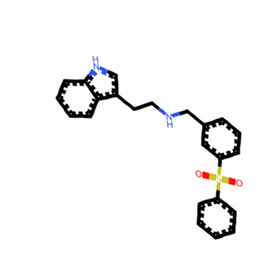 O=S(=O)(c1ccccc1)c1cccc(CNCCc2c[nH]c3ccccc23)c1